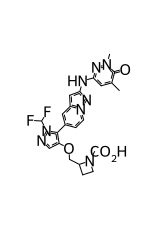 Cc1cc(Nc2cc3cc(-c4c(OCC5CCN5C(=O)O)cnn4C(F)F)ccn3n2)nn(C)c1=O